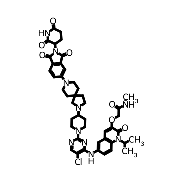 CNC(=O)COc1cc2cc(Nc3nc(N4CCC(N5CCC6(CCN(c7ccc8c(c7)C(=O)N(C7CCC(=O)NC7=O)C8=O)CC6)C5)CC4)ncc3Cl)ccc2n(C(C)C)c1=O